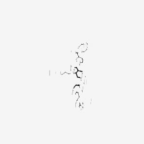 CN1CCN(C(=O)C2CCN(c3nn(CCCO)c4cc(Nc5ccnc(C/C=N\N(C)C)n5)ncc34)C2)CC1